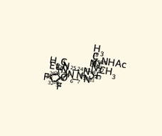 C=NN(C(=O)N1CCN(c2ncc(F)c(-n3nc(C)c(NC(C)=O)c3C)n2)CC1)[C@@H](CC)c1cc(F)cc(F)c1